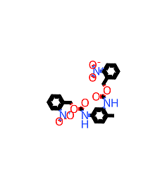 Cc1ccc(NC(=O)OCc2ccccc2[N+](=O)[O-])cc1NC(=O)OCc1ccccc1[N+](=O)[O-]